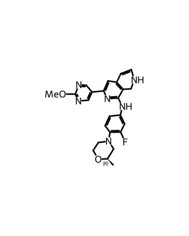 COc1ncc(-c2cc3c(c(Nc4ccc(N5CCO[C@H](C)C5)c(F)c4)n2)CNC=C3)cn1